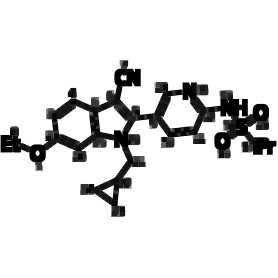 CCOc1ccc2c(C#N)c(-c3ccc(NS(=O)(=O)C(C)C)nc3)n(CC3CC3)c2c1